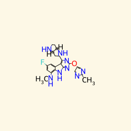 CNc1cc(F)cc2c1[nH]c1nc(Oc3cnc(C)nc3)nc(C3C[C@@H]4NCC[C@@H]4N3)c12